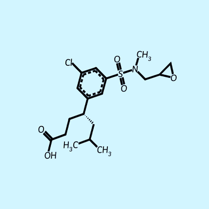 CC(C)C[C@H](CCC(=O)O)c1cc(Cl)cc(S(=O)(=O)N(C)CC2CO2)c1